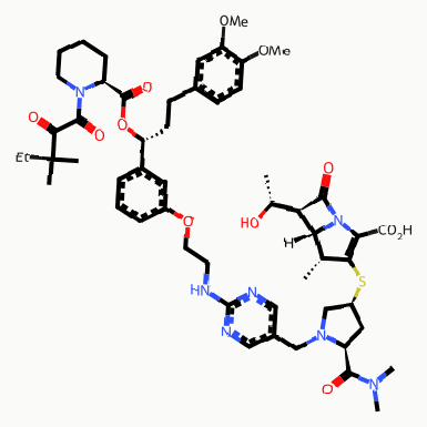 CCC(C)(C)C(=O)C(=O)N1CCCC[C@H]1C(=O)O[C@H](CCc1ccc(OC)c(OC)c1)c1cccc(OCCNc2ncc(CN3C[C@@H](SC4=C(C(=O)O)N5C(=O)[C@H]([C@@H](C)O)[C@H]5[C@H]4C)C[C@H]3C(=O)N(C)C)cn2)c1